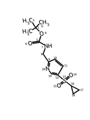 CC(C)(C)OC(=O)NCc1ccc(S(=O)(=O)C2CC2)cn1